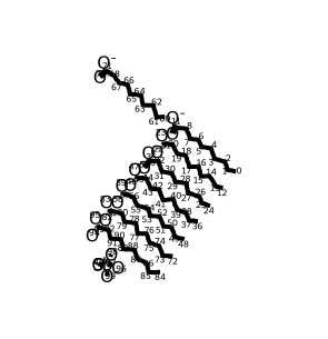 CCCCCCCCCC(=O)[O-].CCCCCCCCCC(=O)[O-].CCCCCCCCCC(=O)[O-].CCCCCCCCCC(=O)[O-].CCCCCCCCCC(=O)[O-].CCCCCCCCCC(=O)[O-].CCCCCCCCCC(=O)[O-].CCCCCCCCCC(=O)[O-].[O]=[Sb]([O-])([O-])[O-]